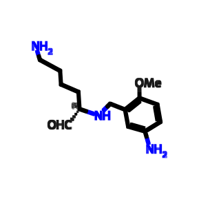 COc1ccc(N)cc1CN[C@H](C=O)CCCCN